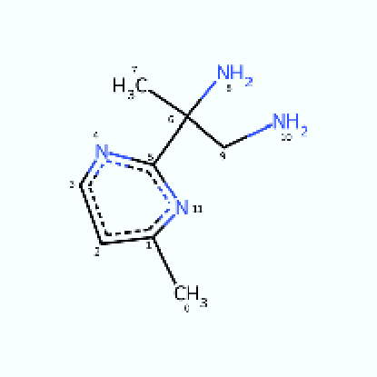 Cc1ccnc(C(C)(N)CN)n1